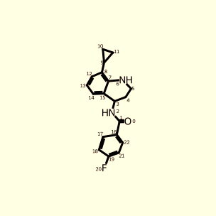 O=C(NC1CCNc2c(C3CC3)cccc21)c1ccc(F)cc1